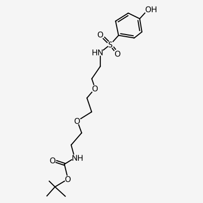 CC(C)(C)OC(=O)NCCOCCOCCNS(=O)(=O)c1ccc(O)cc1